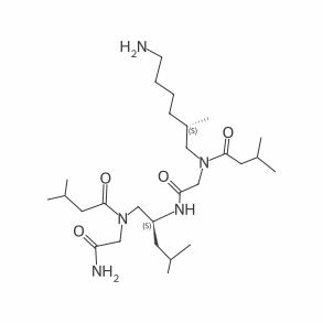 CC(C)CC(=O)N(CC(=O)N[C@@H](CC(C)C)CN(CC(N)=O)C(=O)CC(C)C)C[C@@H](C)CCCCN